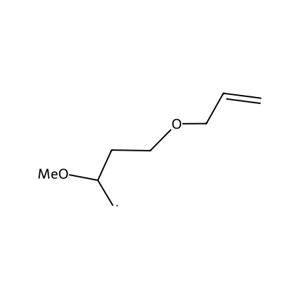 [CH2]C(CCOCC=C)OC